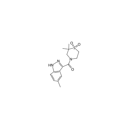 Cc1ccc2[nH]nc(C(=O)N3CCS(=O)(=O)C(C)(C)C3)c2c1